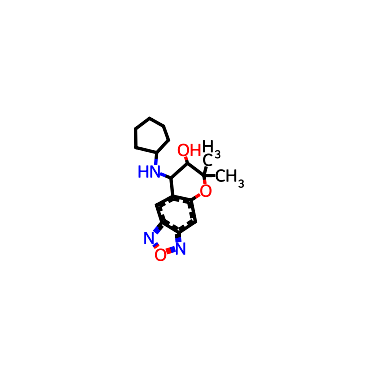 CC1(C)Oc2cc3nonc3cc2C(NC2CCCCC2)C1O